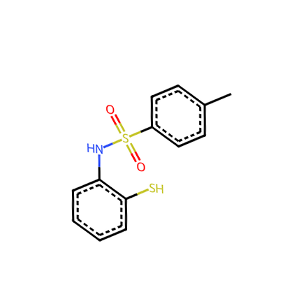 Cc1ccc(S(=O)(=O)Nc2ccccc2S)cc1